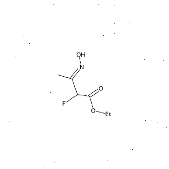 CCOC(=O)C(F)C(C)=NO